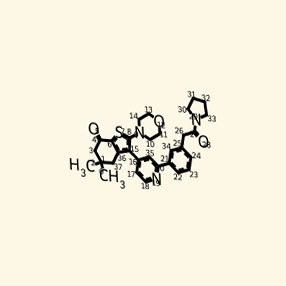 CC1(C)CC(=O)c2sc(N3CCOCC3)c(-c3ccnc(-c4cccc(CC(=O)N5CCCC5)c4)c3)c2C1